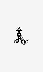 Cc1noc(C)c1-c1ccc2c(c1)nc([C@@H]1CCOC(=O)N1)n2[C@@H]1CCN(C)C1